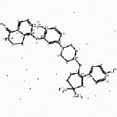 CC1(C)CCC(CN2CCN(c3ccc(C(=O)O)c(Oc4cccc5c4CCNC5=O)c3)CC2)=C(c2ccc(Cl)cc2)C1